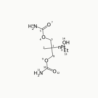 CCCC(C)(COC(N)=O)COC(N)=O.CCO